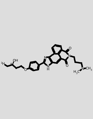 [2H]C[C@@H](O)CCOc1ccc(-c2nc3c(cc4c5c(cccc53)C(=O)N(CCCN(C)C)C4=O)[nH]2)cc1